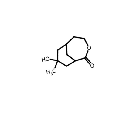 CC1(O)CC2CCOC(=O)C(C2)C1